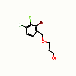 OCCCOCc1ccc(Cl)c(F)c1Br